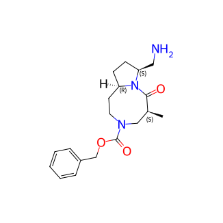 C[C@H]1CN(C(=O)OCc2ccccc2)CC[C@H]2CC[C@@H](CN)N2C1=O